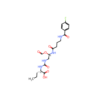 CCC[C@H](NC(=O)NC[C@H](NC(=O)CCCNC(=O)c1ccc(F)cc1)OC=O)C(=O)O